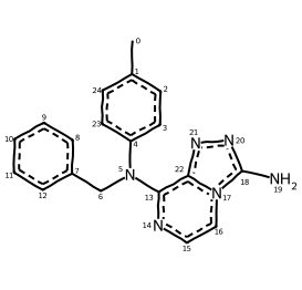 Cc1ccc(N(Cc2ccccc2)c2nccn3c(N)nnc23)cc1